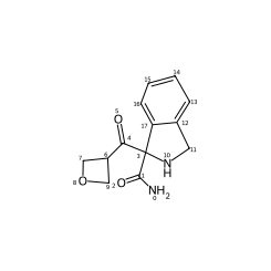 NC(=O)C1(C(=O)C2COC2)NCc2ccccc21